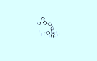 Bc1c(B)c(B)c2c(c1B)c1c(B)c(B)c(B)c(B)c1n2-c1ccc2oc3ccc(-c4ccc5c(c4)c4ccccc4n5-c4ccccc4)cc3c2c1